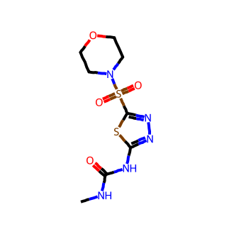 CNC(=O)Nc1nnc(S(=O)(=O)N2CCOCC2)s1